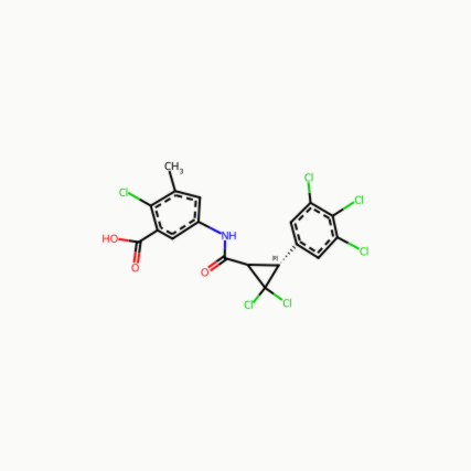 Cc1cc(NC(=O)C2[C@H](c3cc(Cl)c(Cl)c(Cl)c3)C2(Cl)Cl)cc(C(=O)O)c1Cl